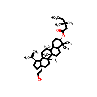 C=C(C)[C@@H]1CC[C@]2(CCO)CC[C@]3(C)C(CCC4[C@@]5(C)CC[C@H](OC(=O)CC(C)(C)CC(=O)O)C(C)(C)C5CC[C@]43C)C12